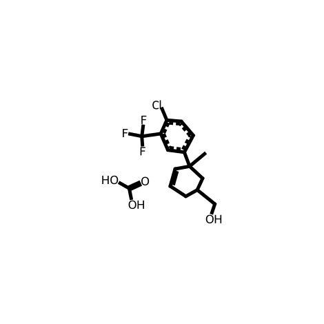 CC1(c2ccc(Cl)c(C(F)(F)F)c2)C=CCC(CO)C1.O=C(O)O